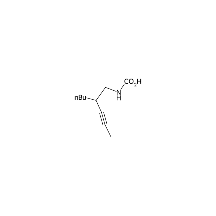 CC#CC(CCCC)CNC(=O)O